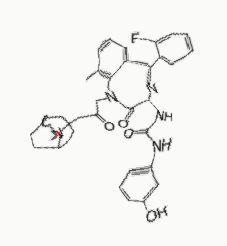 Cc1cccc2c1N(CC(=O)N1CC3CCC(CC3)C1)C(=O)C(NC(=O)Nc1cccc(O)c1)N=C2c1ccccc1F